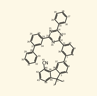 CC1(C)c2ccc(-c3cccc(-c4nc(-c5ccccc5)nc(-c5cccc(-c6ccccc6)c5)n4)c3)cc2-c2c(C#N)cccc21